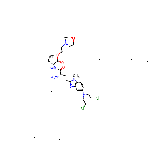 CC(C)C[C@H](NC(=O)[C@@H](N)CCc1nc2cc(N(CCCl)CCCl)ccc2n1C)C(=O)OCCN1CCOCC1